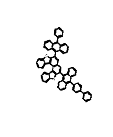 c1ccc(-c2ccc(-c3c4ccccc4c(-c4cc5cc(-c6c7ccccc7c(-c7ccccc7)c7ccccc67)c6sc7ccccc7c6c5c5c4sc4ccccc45)c4ccccc34)cc2)cc1